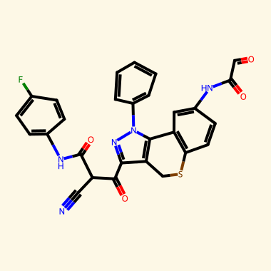 N#CC(C(=O)Nc1ccc(F)cc1)C(=O)c1nn(-c2ccccc2)c2c1CSc1ccc(NC(=O)C=O)cc1-2